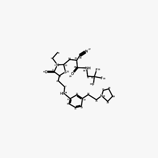 CCN1C(=O)C(CCNc2cccc(CCN3CCCC3)c2)SC1CC(C#N)C(=O)NCC(F)(F)F